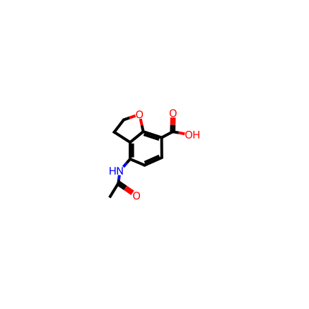 CC(=O)Nc1ccc(C(=O)O)c2c1CCO2